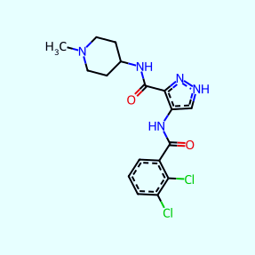 CN1CCC(NC(=O)c2n[nH]cc2NC(=O)c2cccc(Cl)c2Cl)CC1